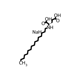 CCCCCCCCCCCCCCCCN[C@@H](CCC(=O)O)C(=O)O.[NaH]